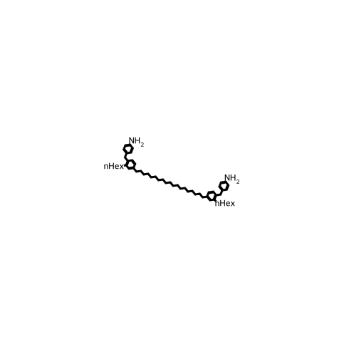 CCCCCCc1cc(CCCCCCCCCCCCCCCCCCCc2ccc(Cc3ccc(N)cc3)c(CCCCCC)c2)ccc1Cc1ccc(N)cc1